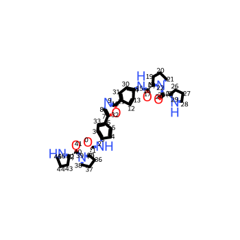 O=C(Nc1ccc(-c2cnc(-c3ccc(NC(=O)[C@@H]4CCCN4C(=O)[C@@H]4CCCN4)cc3)o2)cc1)[C@@H]1CCCN1C(=O)[C@@H]1CCCN1